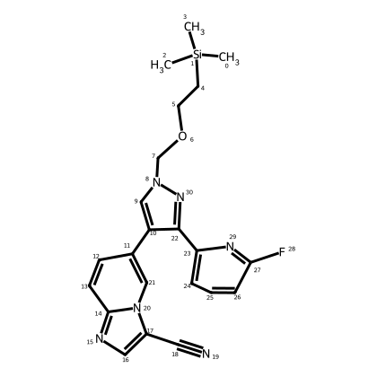 C[Si](C)(C)CCOCn1cc(-c2ccc3ncc(C#N)n3c2)c(-c2cccc(F)n2)n1